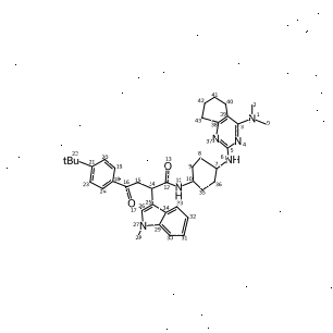 CN(C)c1nc(NC2CCC(NC(=O)C(CC(=O)c3ccc(C(C)(C)C)cc3)c3cn(C)c4ccccc34)CC2)nc2c1CCCC2